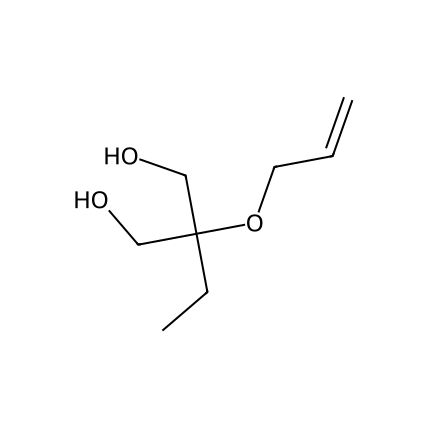 C=CCOC(CC)(CO)CO